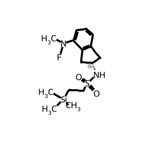 CN(F)c1cccc2c1C[C@@H](NS(=O)(=O)CC[Si](C)(C)C)C2